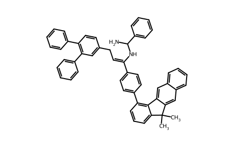 CC1(C)c2cc3ccccc3cc2-c2c(-c3ccc(/C(=C/Cc4ccc(-c5ccccc5)c(-c5ccccc5)c4)NC(N)c4ccccc4)cc3)cccc21